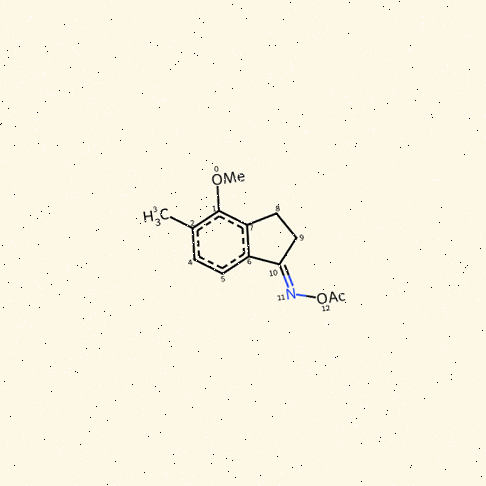 COc1c(C)ccc2c1CC/C2=N\OC(C)=O